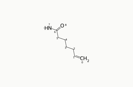 C=CCCCCC([NH])=O